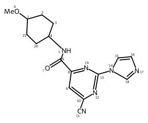 COC1CCC(NC(=O)c2cc(C#N)nc(-n3ccnc3)n2)CC1